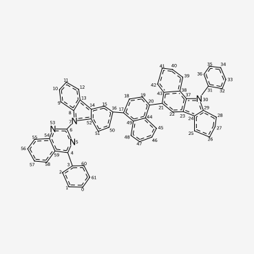 c1ccc(-c2nc(-n3c4ccccc4c4cc(-c5ccc(-c6cc7c8ccccc8n(-c8ccccc8)c7c7ccccc67)c6ccccc56)ccc43)nc3ccccc23)cc1